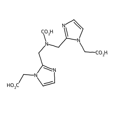 O=C(O)Cn1ccnc1CN(Cc1nccn1CC(=O)O)C(=O)O